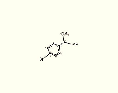 COB(OC)c1ccc(Br)cc1